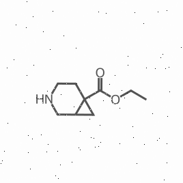 CCOC(=O)C12CCNCC1C2